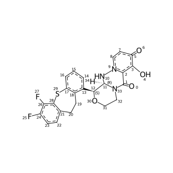 O=C1c2c(O)c(=O)ccn2N[C@@H]2[C@H](c3cccc4c3CCc3ccc(F)c(F)c3S4)OCCN12